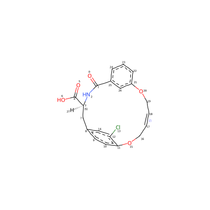 O=C1N[C@H](C(=O)O)Cc2ccc(c(Cl)c2)OC/C=C\COc2cccc1c2